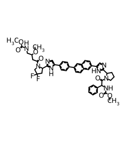 COC(=O)NCC(CC(=O)N1CC(F)(F)CC1c1ncc(-c2ccc(-c3ccc4cc(-c5cnc(C6CCCN6C(=O)C(NC(=O)OC)c6ccccc6)[nH]5)ccc4c3)cc2)[nH]1)OC